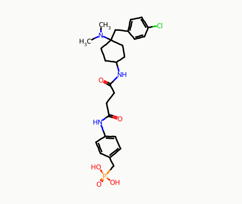 CN(C)C1(Cc2ccc(Cl)cc2)CCC(NC(=O)CCC(=O)Nc2ccc(CP(=O)(O)O)cc2)CC1